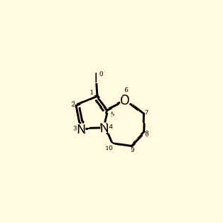 Ic1cnn2c1OCCCC2